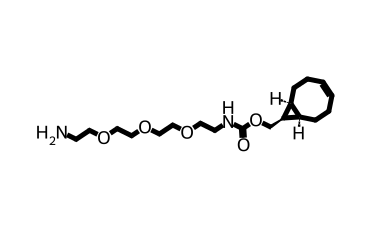 NCCOCCOCCOCCNC(=O)OC[C@@H]1[C@@H]2CC/C=C\CC[C@@H]21